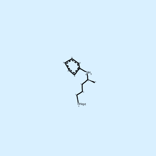 CCCCCCCCCC[C@H](C)[SiH2]c1ccccc1